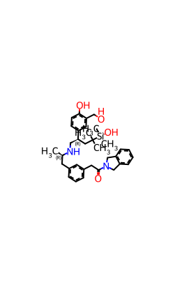 C[C@H](Cc1cccc(CC(=O)N2Cc3ccccc3C2)c1)NC[C@H](CC(C)(C)[Si](C)(C)O)c1ccc(O)c(CO)c1